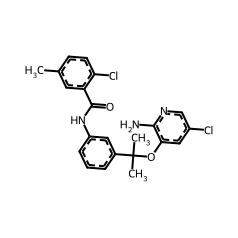 Cc1ccc(Cl)c(C(=O)Nc2cccc(C(C)(C)Oc3cc(Cl)cnc3N)c2)c1